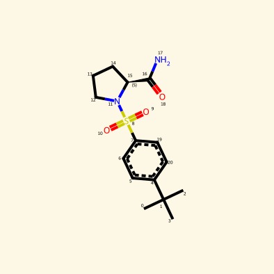 CC(C)(C)c1ccc(S(=O)(=O)N2CCC[C@H]2C(N)=O)cc1